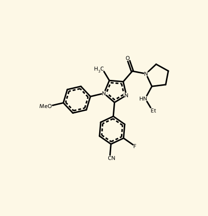 CCNC1CCCN1C(=O)c1nc(-c2ccc(C#N)c(F)c2)n(-c2ccc(OC)cc2)c1C